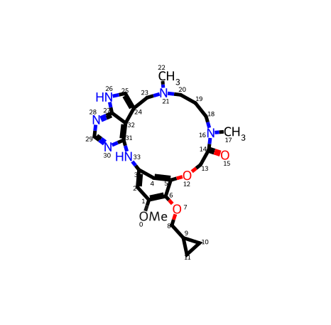 COc1cc2cc(c1OCC1CC1)OCC(=O)N(C)CCCN(C)Cc1c[nH]c3ncnc(c13)N2